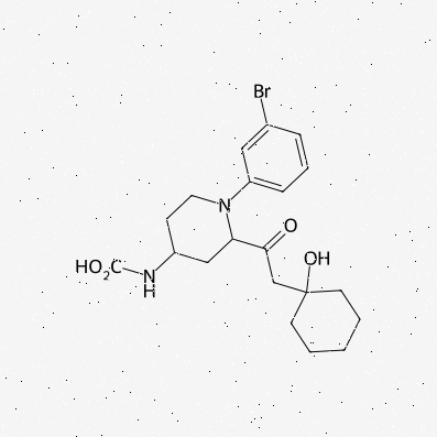 O=C(O)NC1CCN(c2cccc(Br)c2)C(C(=O)CC2(O)CCCCC2)C1